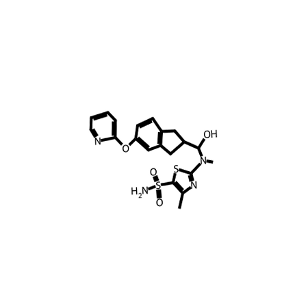 Cc1nc(N(C)C(O)C2Cc3ccc(Oc4ccccn4)cc3C2)sc1S(N)(=O)=O